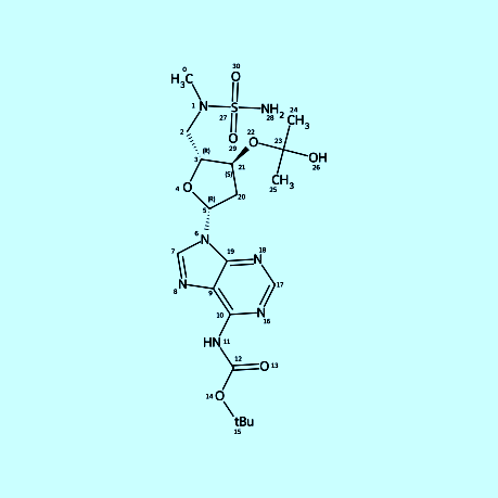 CN(C[C@H]1O[C@@H](n2cnc3c(NC(=O)OC(C)(C)C)ncnc32)C[C@@H]1OC(C)(C)O)S(N)(=O)=O